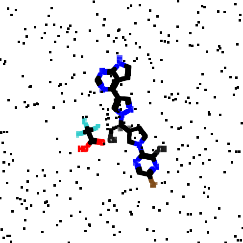 N#CC[C@@H]([C@H]1CCN(c2ncc(Br)nc2C#N)C1)n1cc(-c2ncnc3[nH]ccc23)cn1.O=C(O)C(F)(F)F